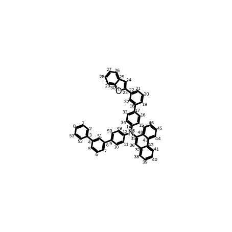 c1ccc(-c2cccc(-c3ccc(N(c4ccc(-c5cccc(-c6cc7ccccc7o6)c5)cc4)c4cc5ccccc5c5ccccc45)cc3)c2)cc1